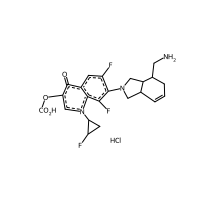 Cl.NCC1CC=CC2CN(c3c(F)cc4c(=O)c(OC(=O)O)cn(C5CC5F)c4c3F)CC21